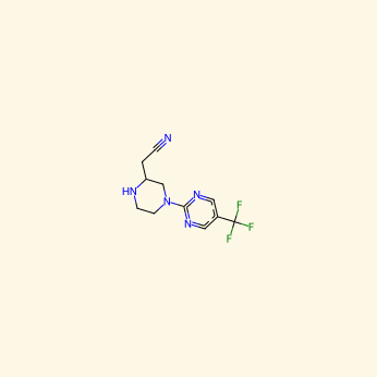 N#CCC1CN(c2ncc(C(F)(F)F)cn2)CCN1